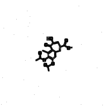 COC(=O)c1cc(O)c(=O)c2c(C)c(OC(C)=O)c(OC(C)=O)cc2c1